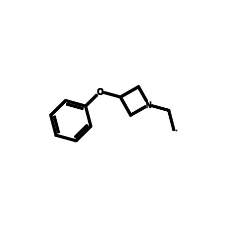 [CH2]CN1CC(Oc2ccccc2)C1